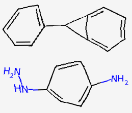 NNc1ccc(N)cc1.c1ccc(C2c3ccccc32)cc1